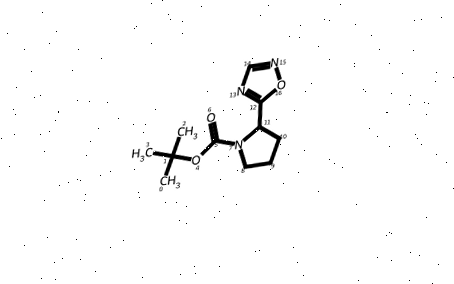 CC(C)(C)OC(=O)N1CCCC1c1ncno1